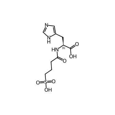 O=C(CCCS(=O)(=O)O)N[C@@H](Cc1cnc[nH]1)C(=O)O